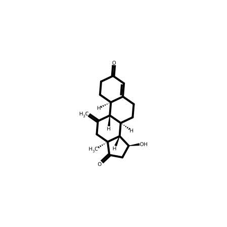 C=C1C[C@]2(C)C(=O)C[C@H](O)[C@H]2[C@@H]2CCC3=CC(=O)CC[C@@H]3[C@@H]12